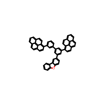 c1cc(-c2cc(-c3ccc4oc5ccccc5c4c3)cc(-c3ccc4ccc5cccc6ccc3c4c56)c2)cc(-c2ccc3ccc4cccc5ccc2c3c45)c1